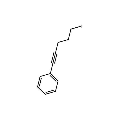 ICCCC#Cc1ccccc1